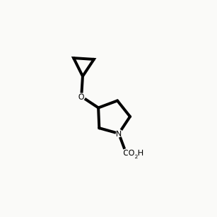 O=C(O)N1CCC(OC2CC2)C1